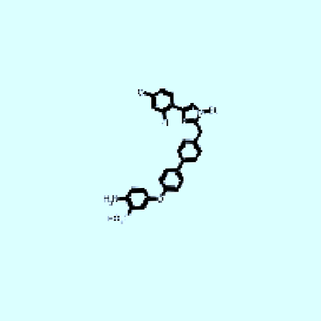 CCn1cc(-c2ccc(Cl)cc2Cl)nc1Cc1ccc(-c2ccc(Oc3ccc(N)c(C(=O)O)c3)cc2)cc1